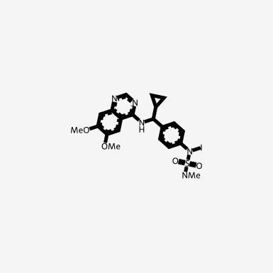 CNS(=O)(=O)N(I)c1ccc(C(Nc2ncnc3cc(OC)c(OC)cc23)C2CC2)cc1